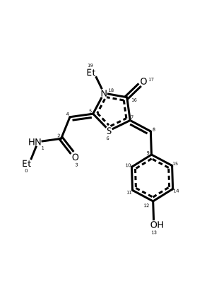 CCNC(=O)/C=c1\s/c(=C\c2ccc(O)cc2)c(=O)n1CC